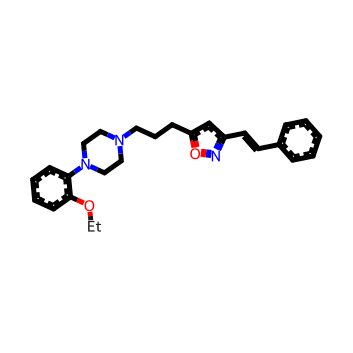 CCOc1ccccc1N1CCN(CCCc2cc(C=Cc3ccccc3)no2)CC1